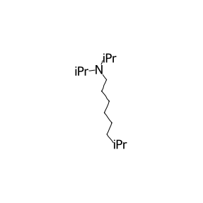 CC(C)CCCCCCN(C(C)C)C(C)C